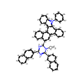 CN1C(c2ccc3ccccc3c2)=NC(c2ccc3ccccc3c2)=NC1c1cc2c3ccccc3c3c(c4ccccc4n3-c3ccccc3)c2c2ccccc12